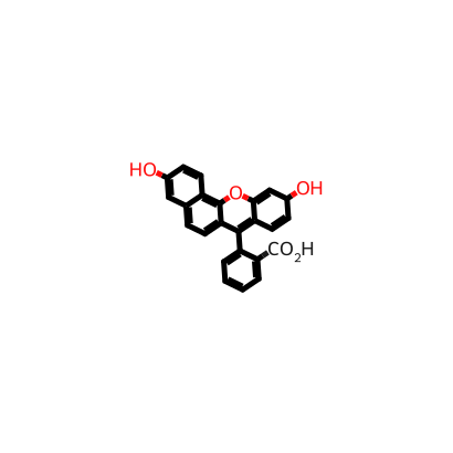 O=C(O)c1ccccc1C1=C2C=CC(O)C=C2Oc2c1ccc1cc(O)ccc21